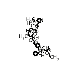 CCCOC(=O)[C@H](C)NP(=O)(Cc1ccc2sc(C(=O)N[C@H]3C[C@H](C)C[C@H]4CC[C@@H](C(=O)N5CC(c6cnccc6N(C)C)C5)N4C3=O)cc2c1)Oc1ccccc1